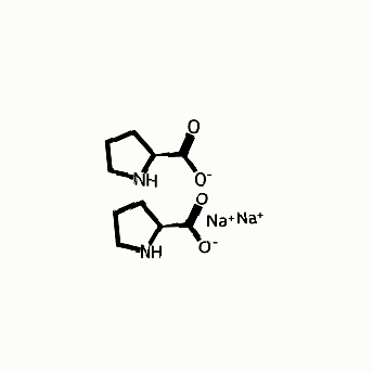 O=C([O-])[C@@H]1CCCN1.O=C([O-])[C@@H]1CCCN1.[Na+].[Na+]